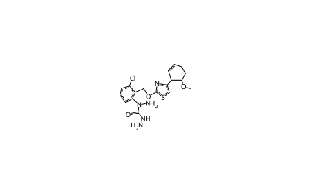 COC1=C(c2csc(OCc3c(Cl)cccc3N(N)C(=O)NN)n2)C=CCC1